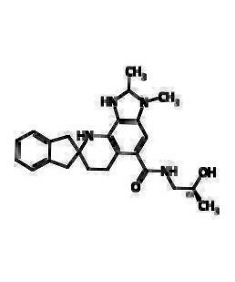 CC1Nc2c(cc(C(=O)NC[C@H](C)O)c3c2NC2(CC3)Cc3ccccc3C2)N1C